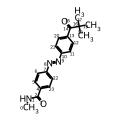 CNC(=O)c1ccc(/N=N/c2ccc(C(=O)C(C)(C)C)cc2)cc1